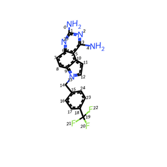 Nc1nc(N)c2c(ccc3c2ccn3Cc2ccc(C(F)(F)F)cc2)n1